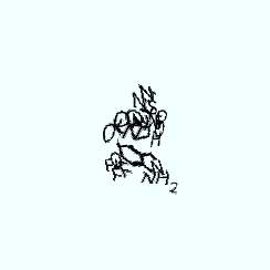 CN(C)c1ncc(N([C@H]2CCN([C@H](Cc3cc4ccnc(N)c4cc3OC(F)(F)F)C(=O)O)C2=O)[SH](=O)=O)s1